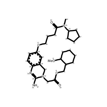 COC1CCCCC1COC(=O)CN1Cc2cc(OCCCC(=O)N(C)C3CCCC3)ccc2N=C1N